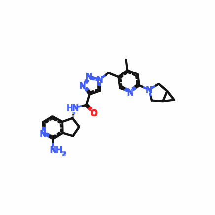 Cc1cc(N2CC3CC3C2)ncc1Cn1cc(C(=O)N[C@@H]2CCc3c2ccnc3N)nn1